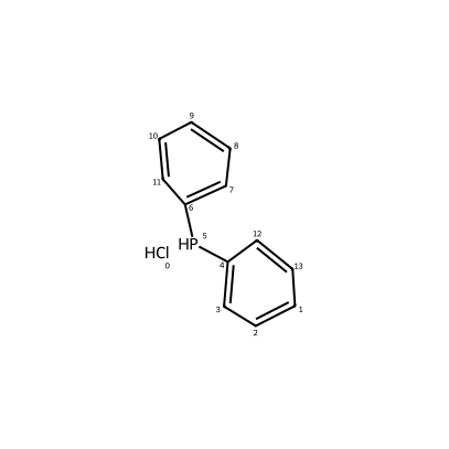 Cl.c1ccc(Pc2ccccc2)cc1